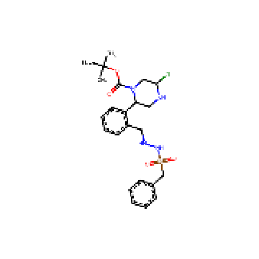 CC(C)(C)OC(=O)N1CC(Cl)NCC1c1ccccc1CNNS(=O)(=O)Cc1ccccc1